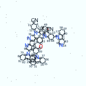 N#Cc1ccc2c(c1)c1cc(C#N)ccc1n2-c1cnc2c(c1)C1(c3ccc(-n4c5ccccc5c5ccccc54)cc3Oc3cc(-n4c5ccccc5c5cc(-n6c7ccccc7c7ccncc76)ccc54)ccc31)c1cc(-n3c4ccccc4c4ccccc43)cnc1-2